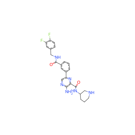 Nc1ncc(-c2cccc(C(=O)NCc3ccc(F)c(F)c3)c2)nc1C(=O)NC1CCCNC1